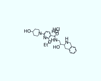 CCOc1nc(N2CCC(O)CC2)ccc1C(=O)NCC(O)C1Cc2ccccc2CN1.Cl.Cl